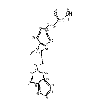 Cn1c(CCc2ccc3ccccc3c2)nc2cc(C=CC(=O)NO)ccc21